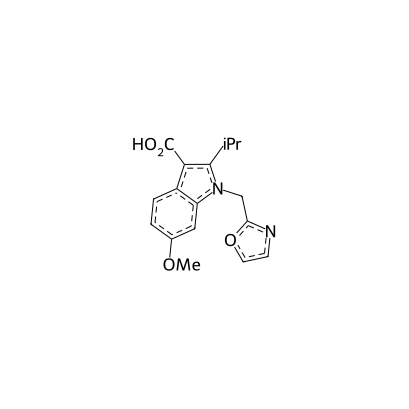 COc1ccc2c(C(=O)O)c(C(C)C)n(Cc3ncco3)c2c1